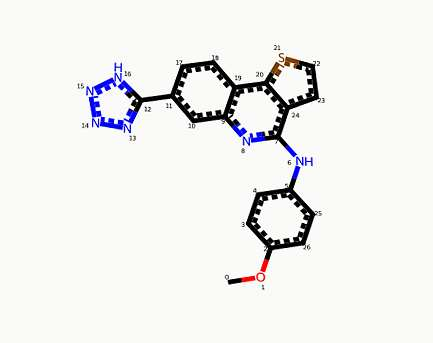 COc1ccc(Nc2nc3cc(-c4nnn[nH]4)ccc3c3sccc23)cc1